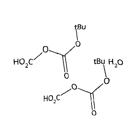 CC(C)(C)OC(=O)OC(=O)O.CC(C)(C)OC(=O)OC(=O)O.O